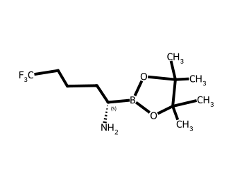 CC1(C)OB([C@H](N)CCCC(F)(F)F)OC1(C)C